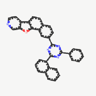 c1ccc(-c2nc(-c3ccc4ccc5c6ccncc6oc5c4c3)nc(-c3cccc4ccccc34)n2)cc1